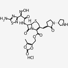 Cc1oc(=O)oc1COC(=O)C1=C(/C=C2\CCN([C@@H]3CCNC3)C2=O)CS[C@@H]2[C@H](NC(=O)/C(=N\O)c3nsc(N)n3)C(=O)N12.Cl